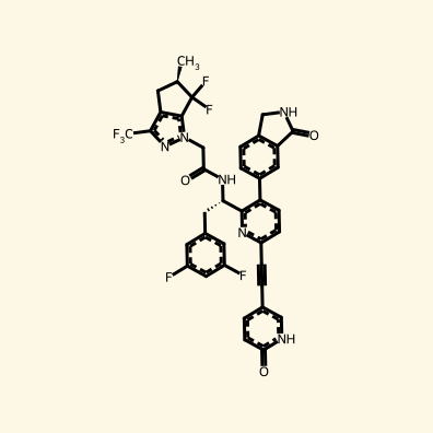 C[C@@H]1Cc2c(C(F)(F)F)nn(CC(=O)N[C@@H](Cc3cc(F)cc(F)c3)c3nc(C#Cc4ccc(=O)[nH]c4)ccc3-c3ccc4c(c3)C(=O)NC4)c2C1(F)F